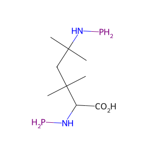 CC(C)(CC(C)(C)C(NP)C(=O)O)NP